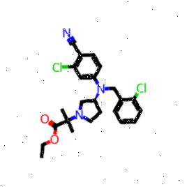 CCOC(=O)C(C)(C)N1CC[C@H](N(Cc2ccccc2Cl)c2ccc(C#N)c(Cl)c2)C1